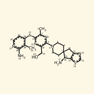 Cc1nc(N2CCC3(CC2)Cc2ncsc2[C@H]3N)c(CO)nc1Sc1ccnc(N)c1C